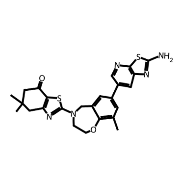 Cc1cc(-c2cnc3sc(N)nc3c2)cc2c1OCCN(c1nc3c(s1)C(=O)CC(C)(C)C3)C2